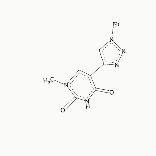 CC(C)n1cc(-c2cn(C)c(=O)[nH]c2=O)nn1